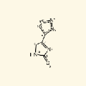 O=C1N=C(c2csnn2)CN1